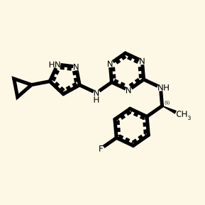 C[C@H](Nc1ncnc(Nc2cc(C3CC3)[nH]n2)n1)c1ccc(F)cc1